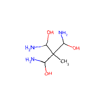 CC(C(N)O)(C(N)O)C(N)O